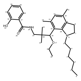 CCCCCCN1CCc2c(C)cc(C)c(C(OCC)C(C)(C)CNC(=O)c3ccccc3O)c21